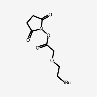 CCC(C)CCOCC(=O)ON1C(=O)CCC1=O